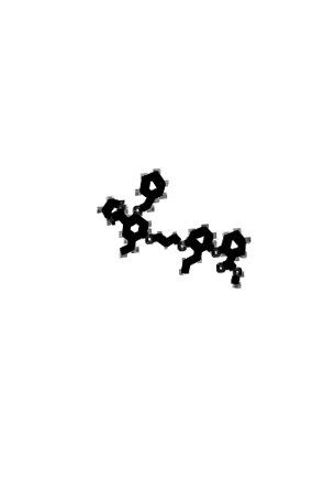 CCCc1c(OCCCOc2cc(OCc3ccccc3)c(-c3nccs3)cc2CC)cccc1Oc1ccccc1C(=O)OC